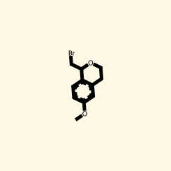 COc1ccc2c(c1)CCOC2CBr